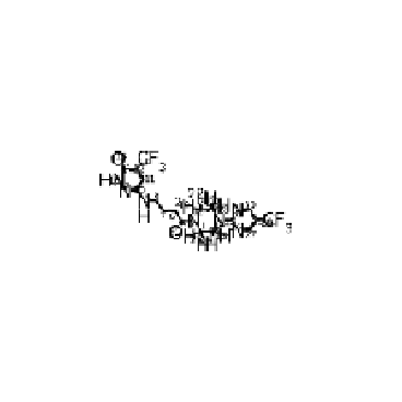 [2H]C1([2H])N(C(=O)CCCNc2cc(C(F)(F)F)c(=O)[nH]n2)C([2H])([2H])C([2H])([2H])N(c2ncc(C(F)(F)F)cn2)C1([2H])[2H]